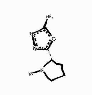 CC(C)N1CCC[C@H]1c1nnc(N)o1